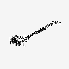 COCCOCCOCCOCCOCCOCCOCCOCCOCCOCC(=O)NCCCC[C@H](N)C(=O)N[C@@H](C)C(=O)N[C@@H](C)C(=O)N[C@@H](C)C(=O)OC(C)(C)C